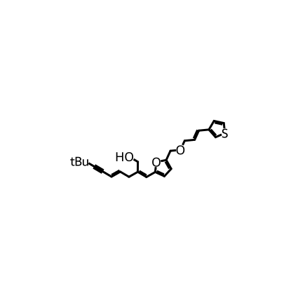 CC(C)(C)C#CC=CCC(=Cc1ccc(COCC=Cc2ccsc2)o1)CO